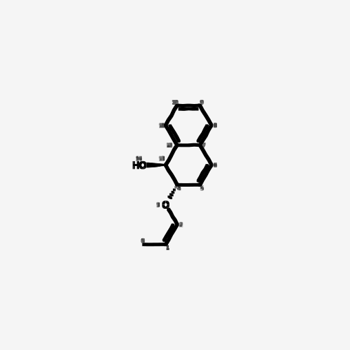 C/C=C\O[C@H]1C=Cc2ccccc2[C@@H]1O